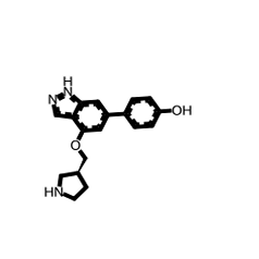 Oc1ccc(-c2cc(OC[C@H]3CCNC3)c3cn[nH]c3c2)cc1